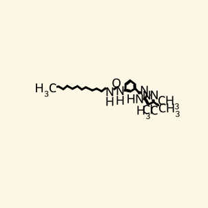 CCCCCCCCCCCCNC(=O)Nc1cccc(-c2nn3nc(C(C)(C)C)c(Cl)c3[nH]2)c1